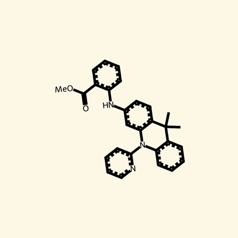 COC(=O)c1ccccc1Nc1ccc2c(c1)N(c1ccccn1)c1ccccc1C2(C)C